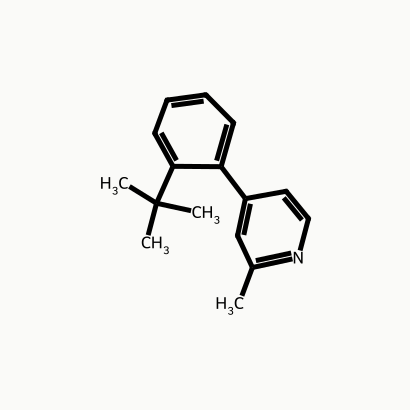 Cc1cc(-c2ccccc2C(C)(C)C)ccn1